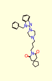 O=C1CC2(CCCC2)CC(=O)N1CCCCN1CCN(c2nc3ccccc3n2Cc2ccccc2)CC1